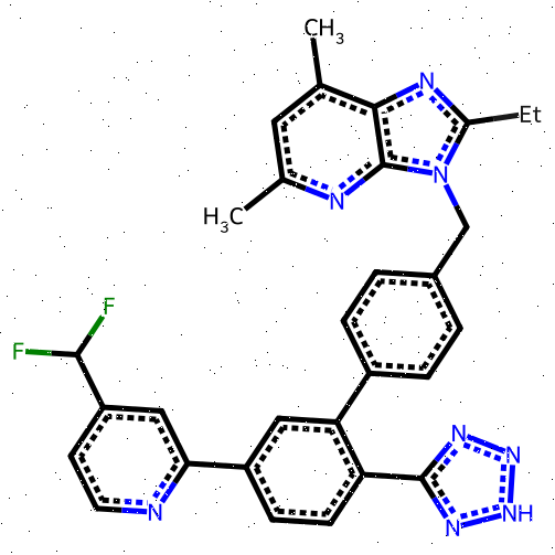 CCc1nc2c(C)cc(C)nc2n1Cc1ccc(-c2cc(-c3cc(C(F)F)ccn3)ccc2-c2nn[nH]n2)cc1